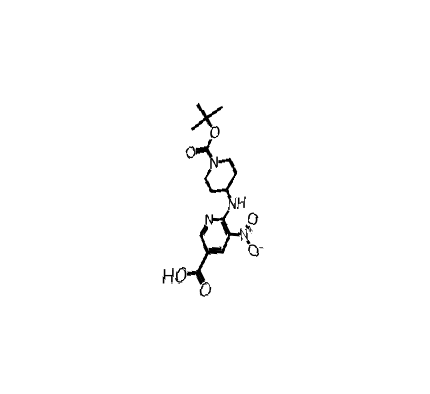 CC(C)(C)OC(=O)N1CCC(Nc2ncc(C(=O)O)cc2[N+](=O)[O-])CC1